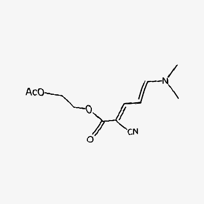 CC(=O)OCCOC(=O)C(C#N)=CC=CN(C)C